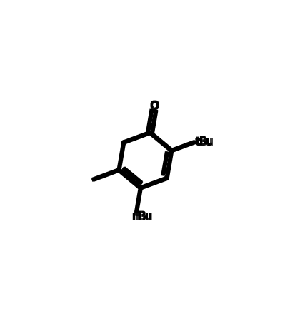 CCCCC1=C(C)CC(=O)C(C(C)(C)C)=C1